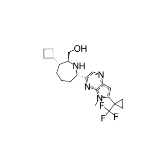 Cn1c(C2(C(F)(F)F)CC2)cc2ncc([C@@H]3CCC[C@H](C4CCC4)[C@@H](CO)N3)nc21